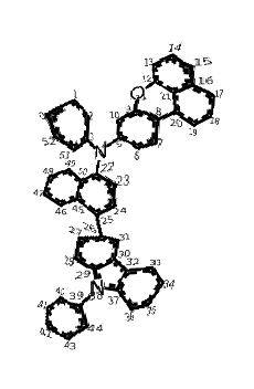 c1ccc(N(c2ccc3c(c2)Oc2cccc4cccc-3c24)c2ccc(-c3ccc4c(c3)c3ccccc3n4-c3ccccc3)c3ccccc23)cc1